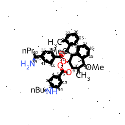 CCCCNc1ccc(C(=O)O[C@@H]2C(C)[C@H](OC)c3ccccc3[C@H](C(OC)c3ccccc3C)[C@@H]2OC(=O)c2ccc(C(N)CCC)cc2)cc1